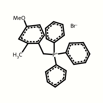 COc1ccc(C[P+](c2ccccc2)(c2ccccc2)c2ccccc2)c(C)c1.[Br-]